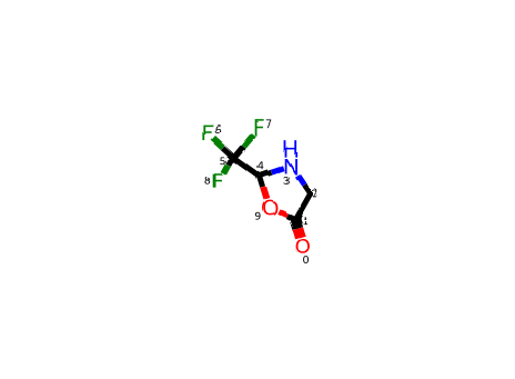 O=C1CNC(C(F)(F)F)O1